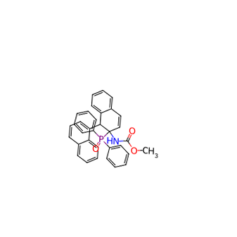 COC(=O)NC1(P(=O)(c2ccccc2)c2ccccc2)C=Cc2ccccc2C1c1cccc2ccccc12